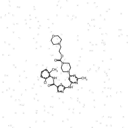 Cc1nc(Nc2ncc(C(=O)Nc3c(C)cccc3Cl)s2)cc(N2CCN(C(=O)OCCN3CCOCC3)CC2)n1